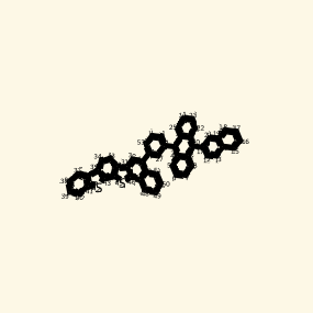 c1cc(-c2c3ccccc3c(-c3ccc4ccccc4c3)c3ccccc23)cc(-c2cc3c4ccc5c6ccccc6sc5c4sc3c3ccccc23)c1